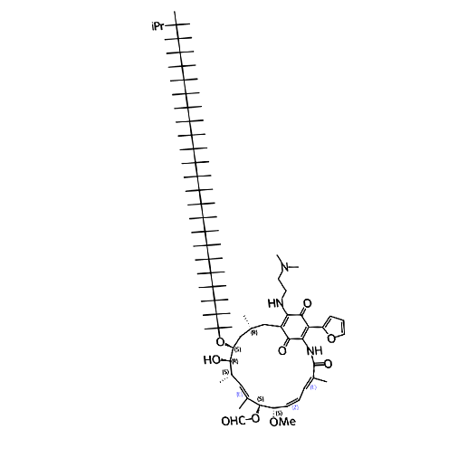 CO[C@H]1/C=C\C=C(/C)C(=O)NC2=C(c3ccco3)C(=O)C(NCCN(C)C)=C(C[C@@H](C)C[C@H](OC(C)(C)C(C)(C)C(C)(C)C(C)(C)C(C)(C)C(C)(C)C(C)(C)C(C)(C)C(C)(C)C(C)(C)C(C)(C)C(C)(C)C(C)(C)C(C)(C)C(C)(C)C(C)(C)C(C)(C)C(C)(C)C(C)(C)C(C)(C)C(C)(C)C(C)(C)C(C)(C)C(C)C)[C@H](O)[C@@H](C)/C=C(\C)[C@@H]1OC=O)C2=O